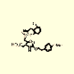 COc1ccc(CCOC(=O)NC(CC(=O)O)C(=O)Cn2nnc(Cc3c(Cl)cccc3Cl)n2)cc1